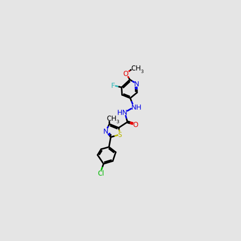 COc1ncc(NNC(=O)c2sc(-c3ccc(Cl)cc3)nc2C)cc1F